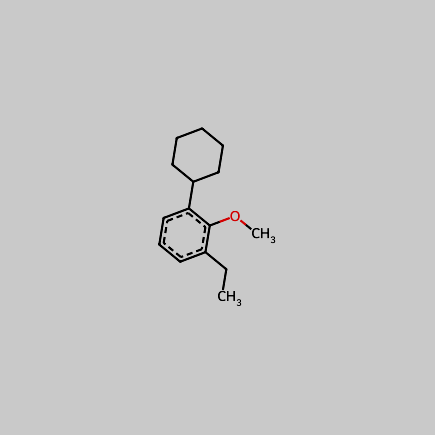 CCc1cccc(C2CCCCC2)c1OC